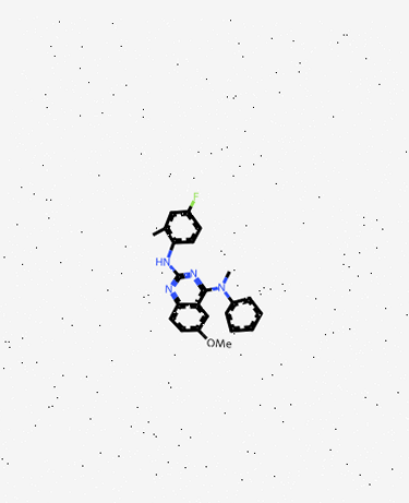 COc1ccc2nc(Nc3ccc(F)cc3C)nc(N(C)c3ccccc3)c2c1